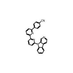 N#Cc1ccc(-c2cccc(-c3cccc(-n4c5ccccc5c5ccncc54)n3)n2)cc1